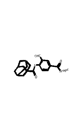 CCCCCCCC(=O)c1ccc(OC(=O)C23CC4CC(CC(C4)C2)C3)c([C]=O)c1